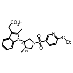 CCOc1ccc(S(=O)(=O)N2C[C@@H](C)[C@@H](n3c(C)c(CC(=O)O)c4ccccc43)C2)cn1